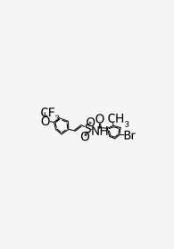 Cc1cc(Br)ccc1C(=O)NS(=O)(=O)/C=C/c1ccc(OC(F)(F)F)cc1